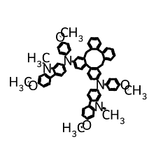 CCn1c2cc(OC)ccc2c2ccc(N(c3ccc(OC)cc3)c3ccc4c(c3)Cc3ccccc3-c3ccccc3Cc3cc(N(c5ccc(OC)cc5)c5ccc6c7ccc(OC)cc7n(CC)c6c5)ccc3-4)cc21